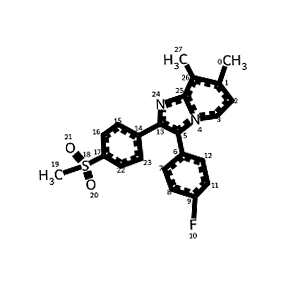 Cc1ccn2c(-c3ccc(F)cc3)c(-c3ccc(S(C)(=O)=O)cc3)nc2c1C